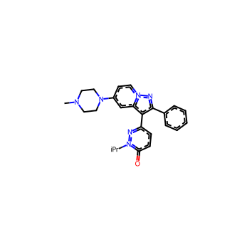 CC(C)n1nc(-c2c(-c3ccccc3)nn3ccc(N4CCN(C)CC4)cc23)ccc1=O